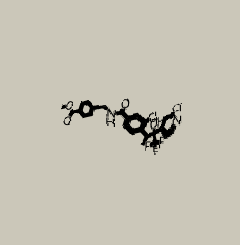 COC(=O)c1ccc(CNC(=O)c2ccc(C(C)C(O)(c3ccnc(Cl)c3)C(F)(F)F)c(Cl)c2)cc1